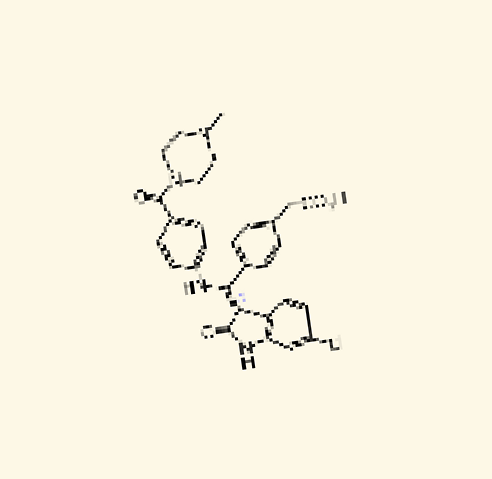 CN1CCN(C(=O)c2ccc(N/C(=C3\C(=O)Nc4cc(Cl)ccc43)c3ccc(CC(=O)O)cc3)cc2)CC1